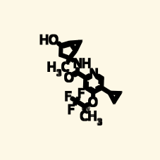 C[C@H](Oc1cc(C(=O)NC2(C)CC(O)=C3CC32)ncc1C1CC1)C(F)(F)F